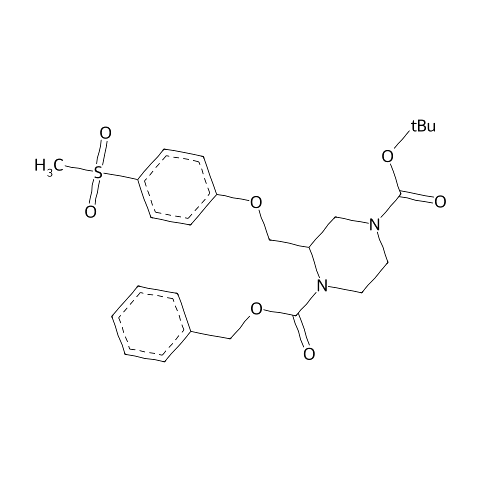 CC(C)(C)OC(=O)N1CCN(C(=O)OCc2ccccc2)C(COc2ccc(S(C)(=O)=O)cc2)C1